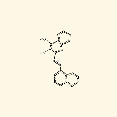 O=S(=O)(O)c1c(/N=N/c2cccc3ccccc23)cc2ccccc2c1S(=O)(=O)O